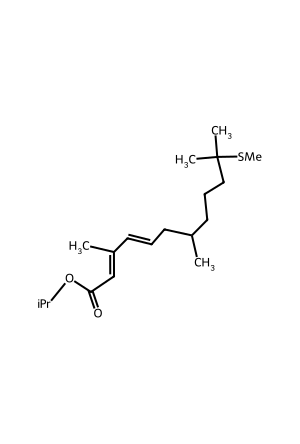 CSC(C)(C)CCCC(C)CC=CC(C)=CC(=O)OC(C)C